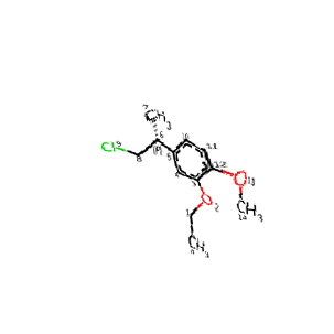 CCOc1cc([C@@H](C)CCl)ccc1OC